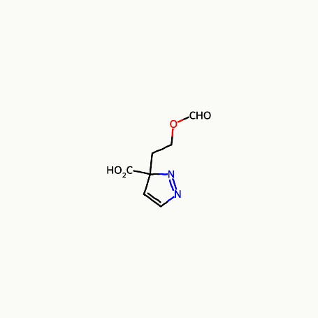 O=COCCC1(C(=O)O)C=CN=N1